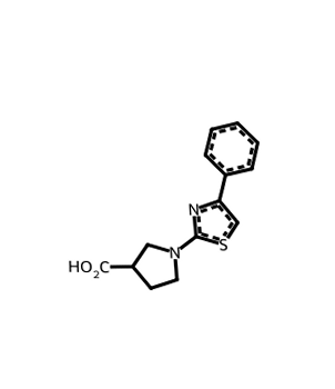 O=C(O)C1CCN(c2nc(-c3ccccc3)cs2)C1